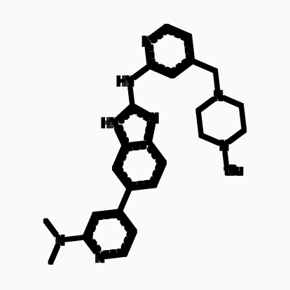 CN(C)c1cc(-c2ccc3nc(Nc4cc(CN5CCN(C(C)(C)C)CC5)ccn4)[nH]c3c2)ccn1